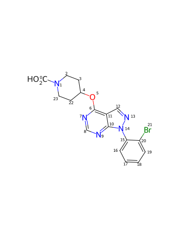 O=C(O)N1CCC(Oc2ncnc3c2cnn3-c2ccccc2Br)CC1